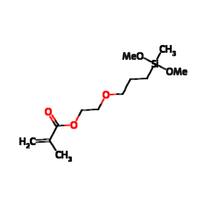 C=C(C)C(=O)OCCOCCC[Si](C)(OC)OC